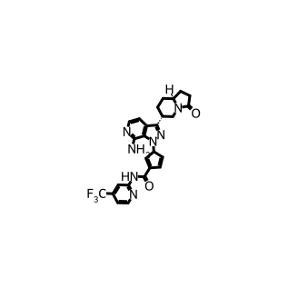 Nc1nccc2c([C@@H]3CC[C@H]4CCC(=O)N4C3)nn(C3C=CC(C(=O)Nc4cc(C(F)(F)F)ccn4)=C3)c12